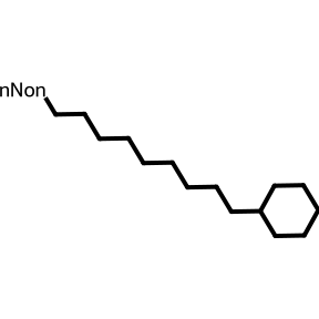 CCCCCCCCCCCCCCCCCCC1CCCCC1